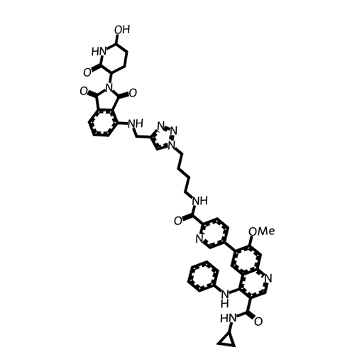 COc1cc2ncc(C(=O)NC3CC3)c(Nc3ccccc3)c2cc1-c1ccc(C(=O)NCCCCn2cc(CNc3cccc4c3C(=O)N(C3CCC(O)NC3=O)C4=O)nn2)nc1